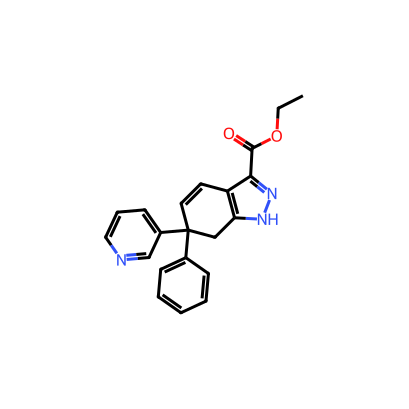 CCOC(=O)c1n[nH]c2c1C=CC(c1ccccc1)(c1cccnc1)C2